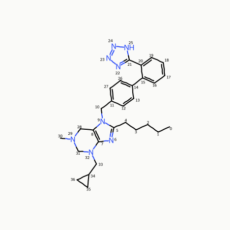 CCCCCc1nc2c(n1Cc1ccc(-c3ccccc3-c3nnn[nH]3)cc1)CN(C)CN2CC1CC1